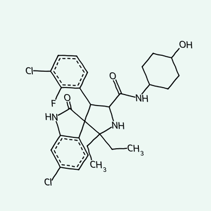 CCC1(CC)NC(C(=O)NC2CCC(O)CC2)C(c2cccc(Cl)c2F)C12C(=O)Nc1cc(Cl)ccc12